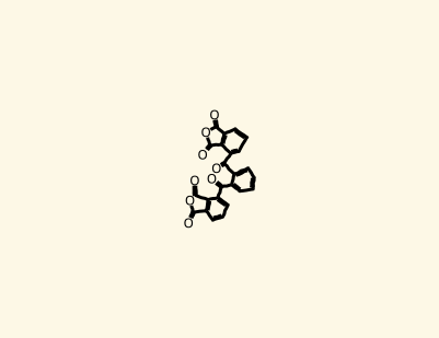 O=C1OC(=O)c2c1cccc2C(=O)c1ccccc1C(=O)c1cccc2c1C(=O)OC2=O